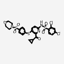 O=C(c1nc(NS(=O)(=O)c2ccc(Cl)cc2Cl)ccc1Sc1ccc(S(=O)(=O)N2CCOCC2)cc1)C1CC1